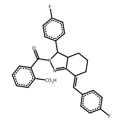 O=C(O)c1ccccc1C(=O)N1N=C2/C(=C/c3ccc(F)cc3)CCCC2C1c1ccc(F)cc1